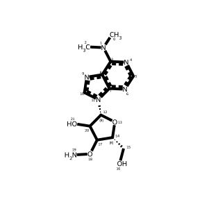 CN(C)c1ncnc2c1ncn2[C@@H]1O[C@H](CO)C(ON)C1O